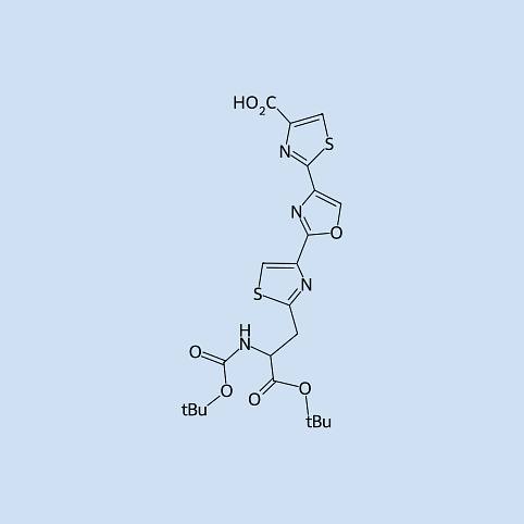 CC(C)(C)OC(=O)NC(Cc1nc(-c2nc(-c3nc(C(=O)O)cs3)co2)cs1)C(=O)OC(C)(C)C